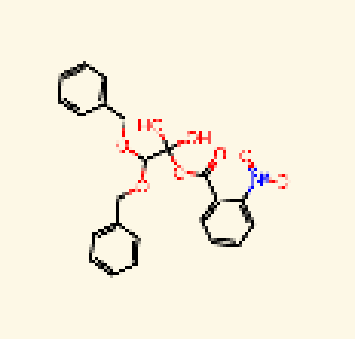 O=C(OC(O)(O)C(OCc1ccccc1)OCc1ccccc1)c1ccccc1[N+](=O)[O-]